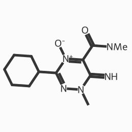 CNC(=O)c1c(=N)n(C)nc(C2CCCCC2)[n+]1[O-]